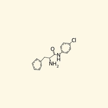 N[C@@H](Cc1ccccc1)C(=O)Nc1ccc(Cl)cc1